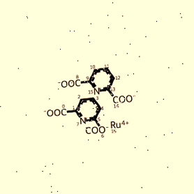 O=C([O-])c1cccc(C(=O)[O-])n1.O=C([O-])c1cccc(C(=O)[O-])n1.[Ru+4]